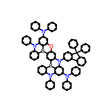 c1ccc(N(c2ccccc2)c2cc3c4c(c2)N(c2ccccc2)c2ccccc2B4c2cc4c(cc2O3)N(c2ccc3c(c2)-c2ccccc2C3(c2ccccc2)c2ccccc2)c2cc(N(c3ccccc3)c3ccccc3)cc3c2B4c2ccccc2N3c2ccccc2)cc1